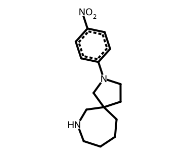 O=[N+]([O-])c1ccc(N2CCC3(CCCCNC3)C2)cc1